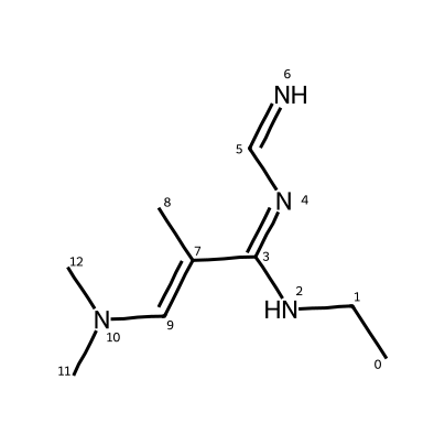 CCNC(=N/C=N)/C(C)=C/N(C)C